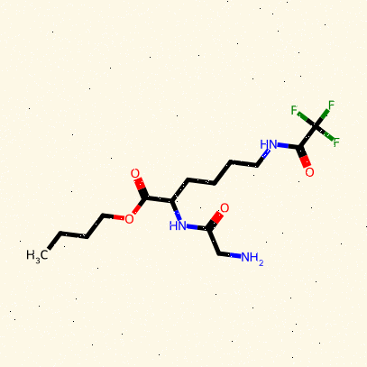 CCCCOC(=O)C(CCCCNC(=O)C(F)(F)F)NC(=O)CN